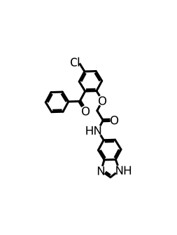 O=C(COc1ccc(Cl)cc1C(=O)c1ccccc1)Nc1ccc2[nH]cnc2c1